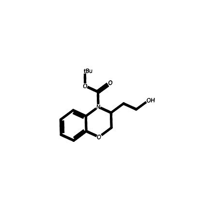 CC(C)(C)OC(=O)N1c2ccccc2OCC1CCO